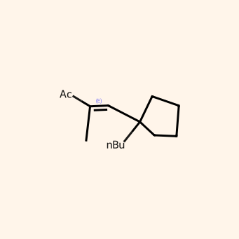 CCCCC1(/C=C(\C)C(C)=O)CCCC1